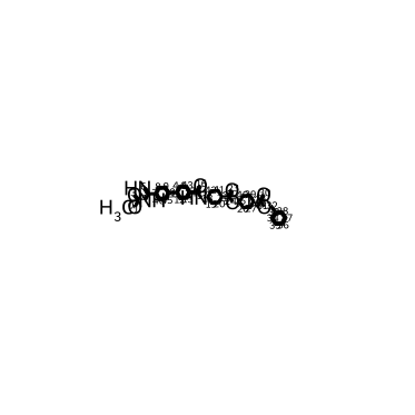 COC(=O)NC(=N)c1ccc(-c2ccc(C(=O)N[C@H]3CC[C@H](C(=O)OC4CCN(C(=O)OCc5ccccc5)CC4)CC3)cc2)cc1